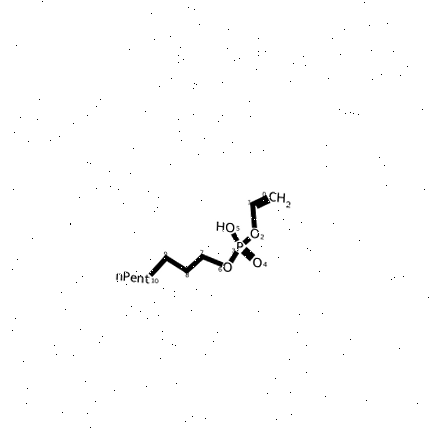 C=COP(=O)(O)OCCCCCCCC